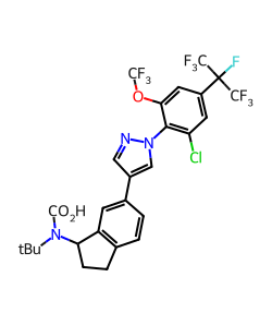 CC(C)(C)N(C(=O)O)C1CCc2ccc(-c3cnn(-c4c(Cl)cc(C(F)(C(F)(F)F)C(F)(F)F)cc4OC(F)(F)F)c3)cc21